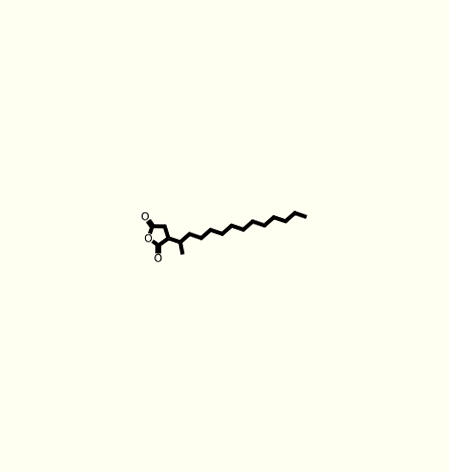 CCCCCCCCCCCCC(C)C1CC(=O)OC1=O